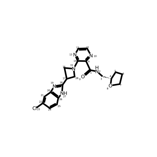 O=C(NC[C@@H]1CCCO1)c1nccnc1N1CC(c2nc3cc(Cl)ccc3[nH]2)C1